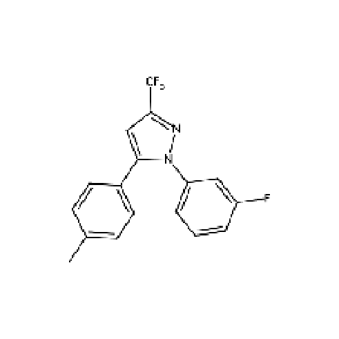 Cc1ccc(-c2cc(C(F)(F)F)nn2-c2cccc(F)c2)cc1